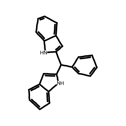 c1ccc(C(c2cc3ccccc3[nH]2)c2cc3ccccc3[nH]2)cc1